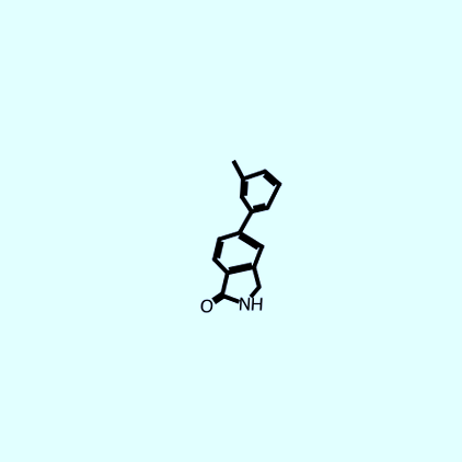 Cc1cccc(-c2ccc3c(c2)CNC3=O)c1